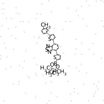 Cc1ccc(-c2ccc(-c3ccc(-c4ccc(B5OC(C)(C)C(C)(C)O5)s4)c4nsnc34)s2)s1